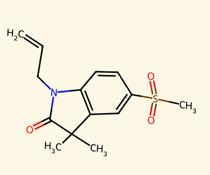 C=CCN1C(=O)C(C)(C)c2cc(S(C)(=O)=O)ccc21